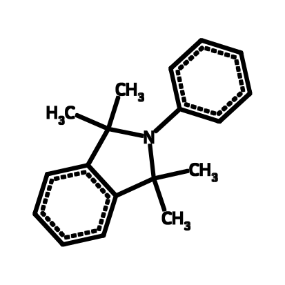 CC1(C)c2ccccc2C(C)(C)N1c1ccccc1